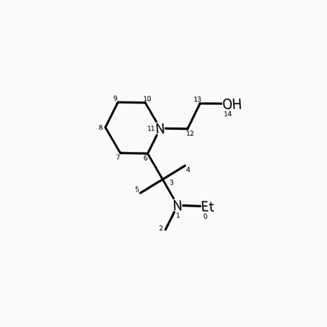 CCN(C)C(C)(C)C1CCCCN1CCO